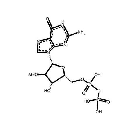 CO[C@@H]1[C@@H](O)[C@@H](COP(=O)(O)OP(=O)(O)O)O[C@H]1n1cnc2c(=O)[nH]c(N)nc21